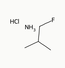 CC(C)CF.Cl.N